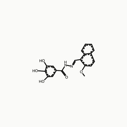 COc1ccc2ccccc2c1C=NNC(=O)c1cc(O)c(O)c(O)c1